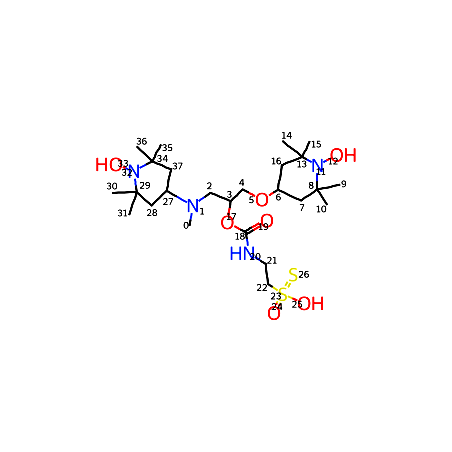 CN(CC(COC1CC(C)(C)N(O)C(C)(C)C1)OC(=O)NCCS(=O)(O)=S)C1CC(C)(C)N(O)C(C)(C)C1